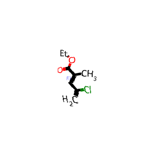 C=C(Cl)/C=C(\C)C(=O)OCC